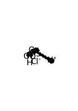 C[N+]1(CCCCCCCCSc2cccc3c2CN(C2CCC(=O)NC2=O)C3=O)CCCCC1.[Cl-]